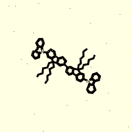 CCCCCCC1(CCCCCC)c2cc(-c3ccc4c(c3)C(CCCCCC)(CCCCCC)c3cc(-n5c6ccccc6c6ccccc65)ccc3-4)ccc2-c2ccc(-n3c4ccccc4c4ccccc43)cc21